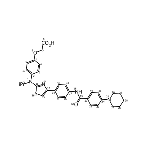 CC(C)N(c1ccc(OCC(=O)O)cc1)c1nc(-c2ccc(NC(=O)c3ccc(N4CCCCC4)cc3)cc2)cs1